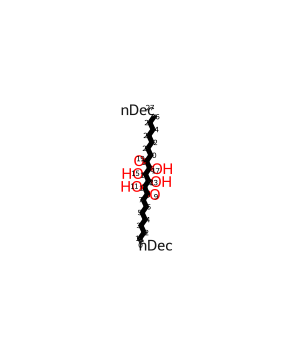 CCCCCCCCCCCCCCCCCC(=O)C(O)[C@@H](O)[C@@H](O)C(O)C(=O)CCCCCCCCCCCCCCCCC